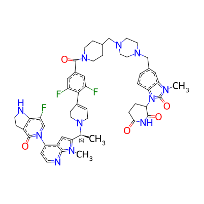 C[C@@H](c1cc2c(-n3cc(F)c4c(c3=O)CCN4)ccnc2n1C)N1CC=C(c2c(F)cc(C(=O)N3CCC(CN4CCN(Cc5ccc6c(c5)n(C)c(=O)n6C5CCC(=O)NC5=O)CC4)CC3)cc2F)CC1